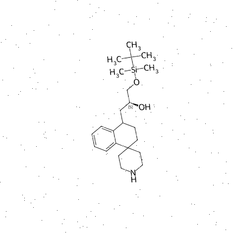 CC(C)(C)[Si](C)(C)OC[C@@H](O)CC1CCC2(CCNCC2)c2ccccc21